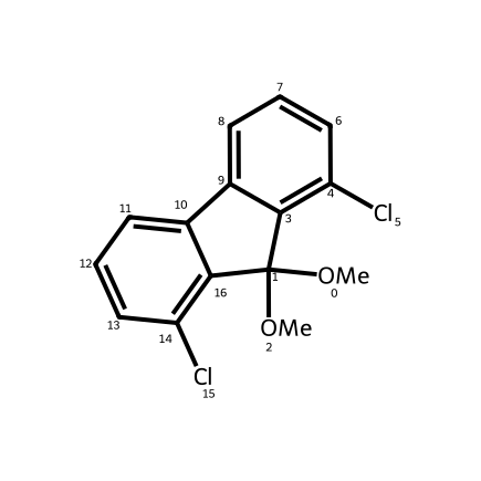 COC1(OC)c2c(Cl)cccc2-c2cccc(Cl)c21